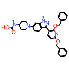 CN(C(=O)O)C1CCN(c2ccc3c(-c4ccc(OCc5ccccc5)nc4OCc4ccccc4)nn(C)c3c2)CC1